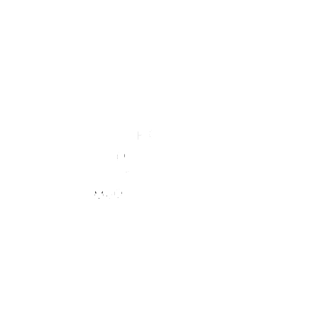 COC(=O)C=C(c1ccccc1)C(F)(F)F